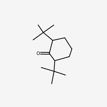 CC(C)(C)C1CCCC(C(C)(C)C)C1=O